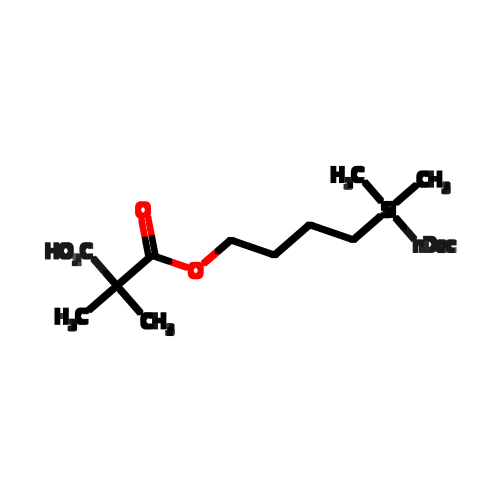 CCCCCCCCCC[Si](C)(C)CCCCOC(=O)C(C)(C)C(=O)O